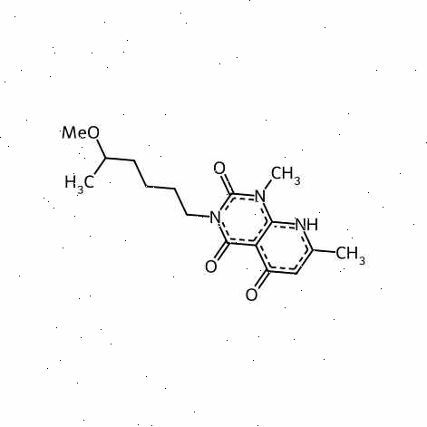 COC(C)CCCCn1c(=O)c2c(=O)cc(C)[nH]c2n(C)c1=O